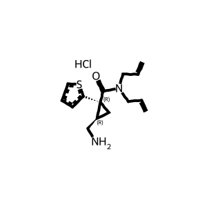 C=CCN(CC=C)C(=O)[C@@]1(c2cccs2)C[C@H]1CN.Cl